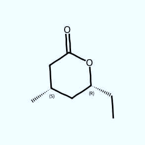 CC[C@@H]1C[C@H](C)CC(=O)O1